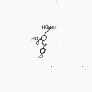 COc1ccc(N(C)CC2CCC(CCB(O)O)C[C@@H]2C(=O)O)cc1